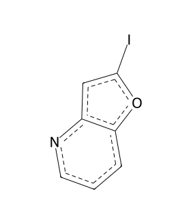 Ic1cc2ncccc2o1